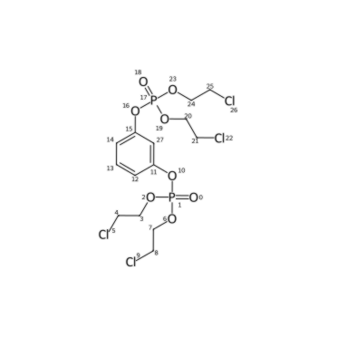 O=P(OCCCl)(OCCCl)Oc1cccc(OP(=O)(OCCCl)OCCCl)c1